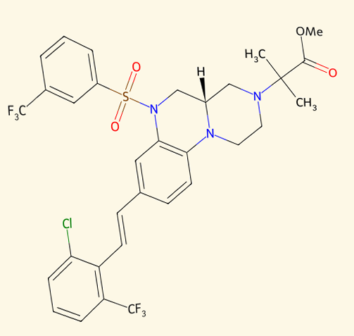 COC(=O)C(C)(C)N1CCN2c3ccc(/C=C/c4c(Cl)cccc4C(F)(F)F)cc3N(S(=O)(=O)c3cccc(C(F)(F)F)c3)C[C@@H]2C1